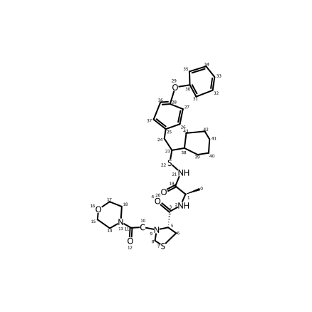 C[C@@H](NC(=O)[C@@H]1CSCN1CC(=O)N1CCOCC1)C(=O)NSC(Cc1ccc(Oc2ccccc2)cc1)C1CCCCC1